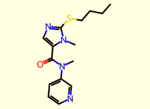 CCCCSc1ncc(C(=O)N(C)c2cccnc2)n1C